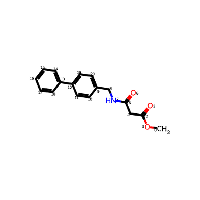 COC(=O)CC(=O)NCc1ccc(-c2ccccc2)cc1